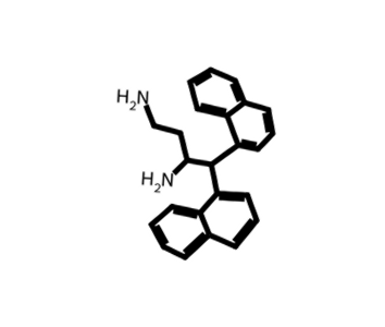 NCCC(N)C(c1cccc2ccccc12)c1cccc2ccccc12